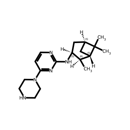 C[C@H]1[C@@H](Nc2nccc(N3CCNCC3)n2)C[C@@H]2C[C@@H]1C2(C)C